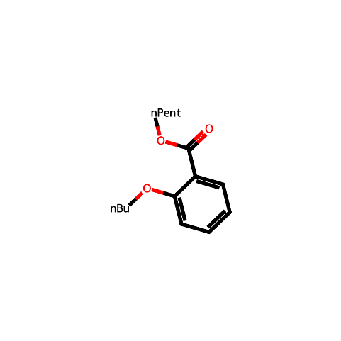 CCCCCOC(=O)c1ccccc1OCCCC